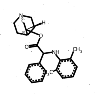 Cc1cccc(C)c1NC(C(=O)O[C@H]1CN2CCC1CC2)c1ccccc1